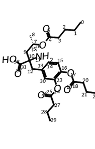 CCCCC(=O)O[C@@H](C)CC(N)(Cc1ccc(OC(=O)CCC)c(OC(=O)CCC)c1)C(=O)O